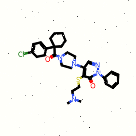 CN(C)CCSc1c(N2CCN(C(=O)C3(C4=CC=C(Cl)CC4)CCCCC3)CC2)cnn(-c2ccccc2)c1=O